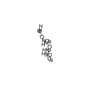 CC(NC(=O)c1cc2ccc(-c3nccc(Nc4ccc(-c5cn[nH]c5)cc4)n3)cc2[nH]1)c1ccncc1